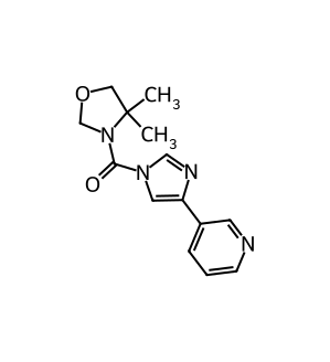 CC1(C)COCN1C(=O)n1cnc(-c2cccnc2)c1